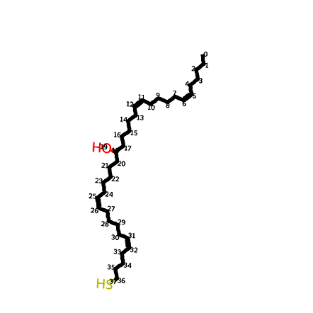 CCCCC/C=C\CCCC/C=C\CCCCCC(O)CCCCC/C=C\CCCC/C=C\CCCCS